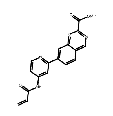 C=CC(=O)Nc1ccnc(-c2ccc3cnc(C(=O)OC)nc3c2)c1